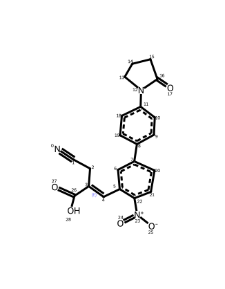 N#CC/C(=C\c1cc(-c2ccc(N3CCCC3=O)cc2)ccc1[N+](=O)[O-])C(=O)O